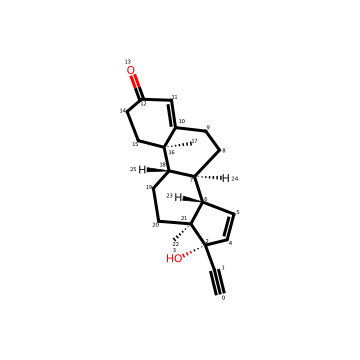 C#C[C@]1(O)C=C[C@H]2[C@@H]3CCC4=CC(=O)CC[C@]4(C)[C@H]3CC[C@@]21C